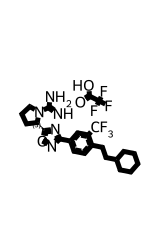 N=C(N)N1CCC[C@H]1c1nc(-c2ccc(CCC3CCCCC3)c(C(F)(F)F)c2)no1.O=C(O)C(F)(F)F